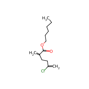 C=C(Cl)CCC(=C)C(=O)OCCCCCC